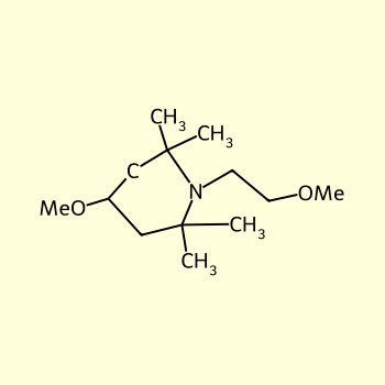 COCCN1C(C)(C)CC(OC)CC1(C)C